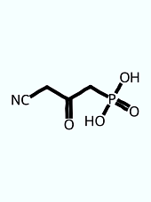 N#CCC(=O)CP(=O)(O)O